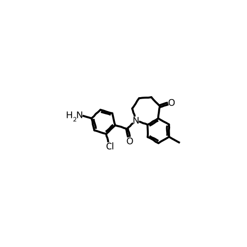 Cc1ccc2c(c1)C(=O)CCCN2C(=O)c1ccc(N)cc1Cl